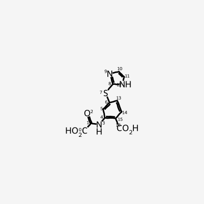 O=C(O)C(=O)Nc1cc(Sc2ncc[nH]2)ccc1C(=O)O